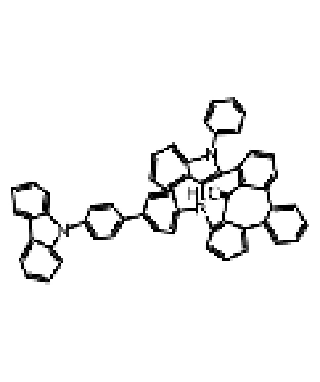 C=C1c2c3cccc2-c2c(c4ccccc4n2-c2ccccc2)N(c2ccc(-c4ccc(-n5c6ccccc6c6ccccc65)cc4)cc2)c2cccc(c21)-c1ccccc1-3